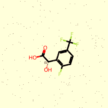 O=C(O)[C@@H](O)c1cc(C(F)(F)F)ccc1F